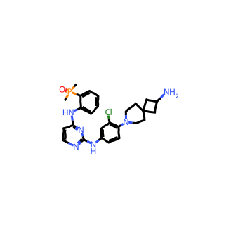 CP(C)(=O)c1ccccc1Nc1ccnc(Nc2ccc(N3CCC4(CC3)CC(N)C4)c(Cl)c2)n1